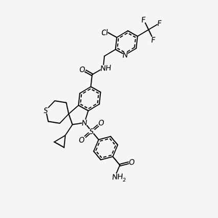 NC(=O)c1ccc(S(=O)(=O)N2c3ccc(C(=O)NCc4ncc(C(F)(F)F)cc4Cl)cc3C3(CCSCC3)C2C2CC2)cc1